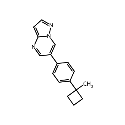 CC1(c2ccc(-c3cnc4ccnn4c3)cc2)CCC1